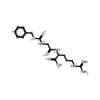 N=C(N)NCCCC(NC(=O)CNC(=O)OCc1ccccc1)C(=O)O